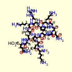 CC(C)[C@H](NC(=O)[C@H](CCCCN)NC(=O)[C@H](CCCNC(=N)N)NC(=O)[C@@H]1CCCN1C(=O)[C@H](CCCCN)NC(=O)[C@H](C)NC(=O)[C@H](CCC(N)=O)NC(=O)[C@H](C)NC(=O)[C@@H](NC(=O)[C@@H]1CCCN1C(=O)[C@H](CCC(=O)O)NC(=O)[C@@H](N)CCCCN)C(C)C)C(=O)N[C@@H](C)C(=O)N[C@@H](C)C(=O)N[C@@H](CCC(N)=O)C(=O)O